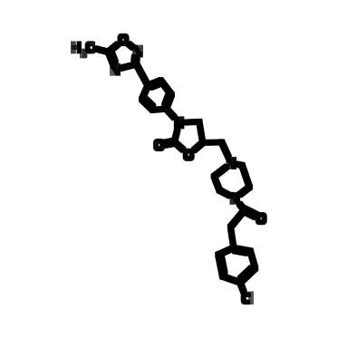 Cc1nc(-c2ccc(N3CC(CN4CCN(C(=O)Cc5ccc(Cl)cc5)CC4)OC3=O)cc2)no1